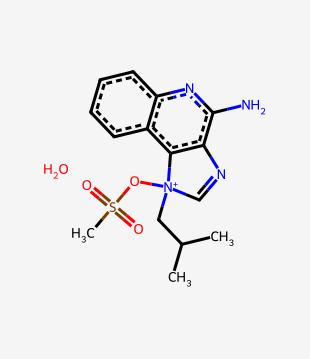 CC(C)C[N+]1(OS(C)(=O)=O)C=Nc2c(N)nc3ccccc3c21.O